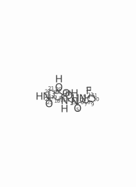 O=C(CNC(=O)c1cc2cccc(F)c2[nH]1)NC(CC1CCCNC1=O)C(=O)CO